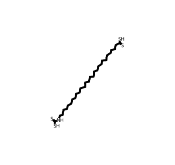 S=C(S)CCCCCCCCCCCCCCCCCCCCCCCCCCCNC(=S)S